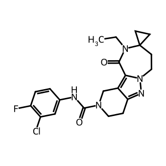 CCN1C(=O)c2c3c(nn2CCC12CC2)CCN(C(=O)Nc1ccc(F)c(Cl)c1)C3